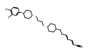 N#CC=CC=CCC[C@H]1CC[C@H](CCCC[C@H]2CC[C@H](c3ccc(F)c(F)c3)CC2)CC1